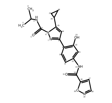 CC(C)NC(=O)n1nc(-c2ccc(NC(=O)c3ccno3)cc2O)cc1C1CC1